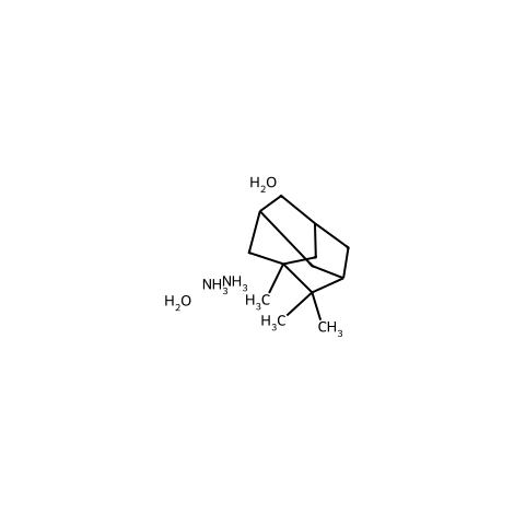 CC12CC3CC(CC(C3)C1(C)C)C2.N.N.O.O